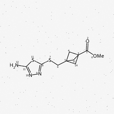 COC(=O)C12CC(CSc3nnc(N)s3)(C1)C2